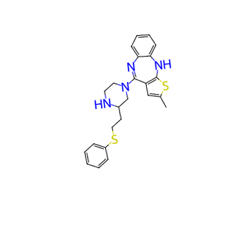 Cc1cc2c(s1)Nc1ccccc1N=C2N1CCNC(CCSc2ccccc2)C1